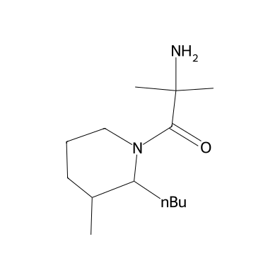 CCCCC1C(C)CCCN1C(=O)C(C)(C)N